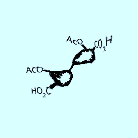 CC(=O)Oc1cc(-c2ccc(C(=O)O)c(OC(C)=O)c2)ccc1C(=O)O